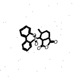 CC1CCC2C(=O)OC(=O)C2C1P1(=O)Oc2ccccc2-c2ccccc21